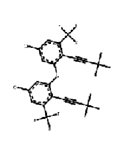 CC(C)(C)C#Cc1c(Sc2cc(Cl)cc(C(F)(F)F)c2C#CC(C)(C)C)cc(Cl)cc1C(F)(F)F